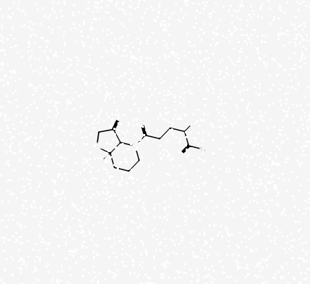 CC(C[CH]C(=O)N1CCC[C@@H]2OCC(=O)C21)C(N)=O